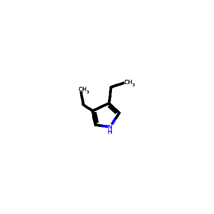 CCc1c[nH]cc1CC